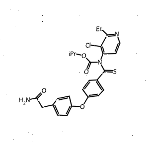 CCc1nccc(N(C(=O)OC(C)C)C(=S)c2ccc(Oc3ccc(CC(N)=O)cc3)cc2)c1Cl